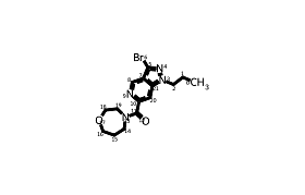 CCCn1nc(Br)c2cnc(C(=O)N3CCCOCC3)cc21